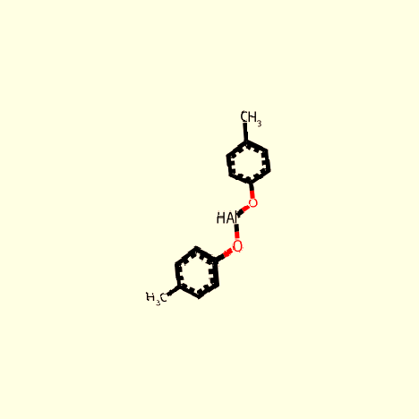 Cc1ccc([O][AlH][O]c2ccc(C)cc2)cc1